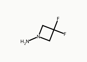 NN1CC(F)(F)C1